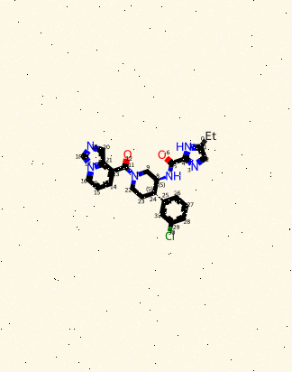 CCc1cnc(C(=O)N[C@@H]2CN(C(=O)c3cccn4cncc34)CC[C@H]2c2cccc(Cl)c2)[nH]1